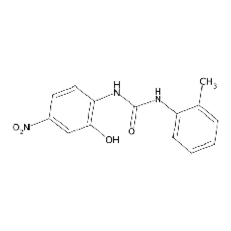 Cc1ccccc1NC(=O)Nc1ccc([N+](=O)[O-])cc1O